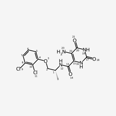 C[C@H](COc1cccc(Cl)c1Cl)NC(=O)c1[nH]c(=O)[nH]c(=O)c1N